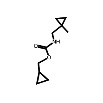 CC1(CNC(=O)OCC2CC2)CC1